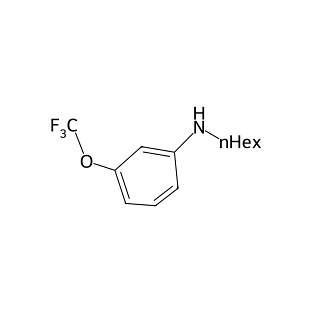 CCCCCCNc1cccc(OC(F)(F)F)c1